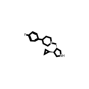 Fc1ccc(C2CCN(C[C@@H]3CNC[C@H]3C3CC3)CC2)cc1